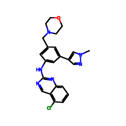 Cn1cc(-c2cc(CN3CCOCC3)cc(Nc3ncc4c(Cl)cccc4n3)c2)cn1